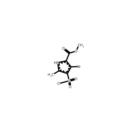 COC(=O)c1[nH]c(C)c(S(=O)(=O)Cl)c1Br